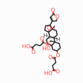 CC12CC[C@H]3[C@@H](CCC4(O)CC(OC(=O)CCC(=O)O)CCC34COC(=O)CCC(=O)O)C1(O)CCC2C1=CC(=O)OC1